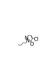 CCCCn1nccc(Cl)c1=O